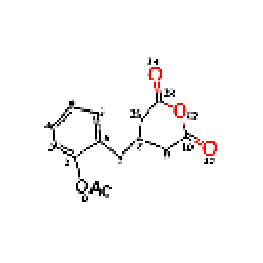 CC(=O)Oc1ccccc1CC1CC(=O)OC(=O)C1